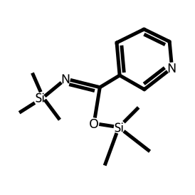 C[Si](C)(C)/N=C(\O[Si](C)(C)C)c1cccnc1